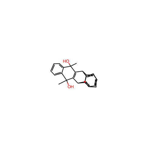 CC1(O)C2=C(C3c4ccccc4C2c2ccccc23)C(C)(O)c2ccccc21